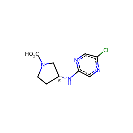 O=C(O)N1CC[C@@H](Nc2cnc(Cl)cn2)C1